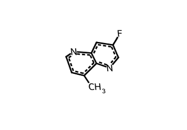 Cc1ccnc2cc(F)cnc12